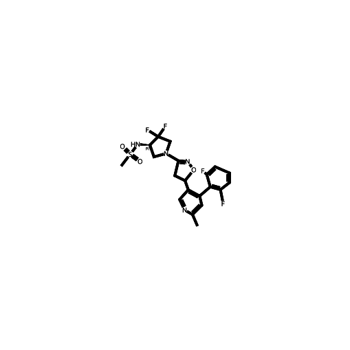 Cc1cc(-c2c(F)cccc2F)c(C2CC(N3C[C@@H](NS(C)(=O)=O)C(F)(F)C3)=NO2)cn1